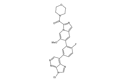 CCn1cnc2c(-c3ccc(F)c(-c4cc5cnc(C(=O)N6CCOCC6)n5cc4OC)c3)cnnc21